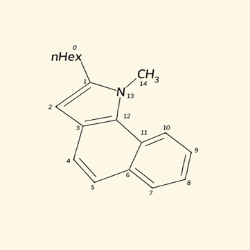 CCCCCCc1cc2ccc3ccccc3c2n1C